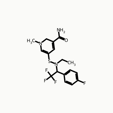 CCN(SC1=CN(C)CC(C(N)=O)=C1)C(c1ccc(F)cc1)C(F)(F)F